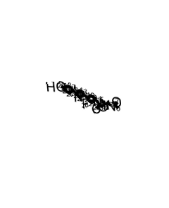 CC(=O)NCC1CN(c2ccc(-c3ccc(N4CCC(O)CC4)nc3)c(F)c2)C(=O)O1